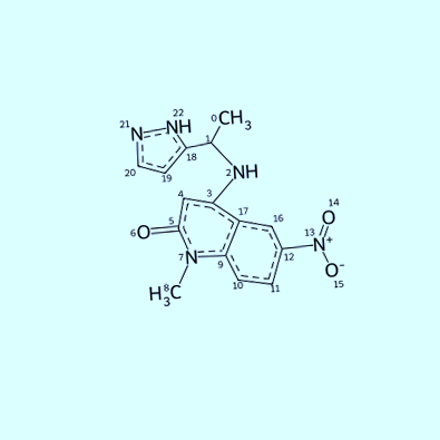 CC(Nc1cc(=O)n(C)c2ccc([N+](=O)[O-])cc12)c1ccn[nH]1